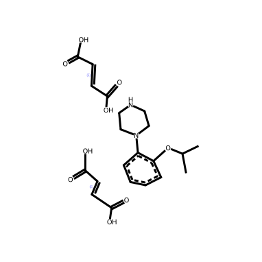 CC(C)Oc1ccccc1N1CCNCC1.O=C(O)/C=C/C(=O)O.O=C(O)/C=C/C(=O)O